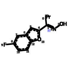 CC(C)/C(=N\O)c1cc2cc(F)ccc2o1